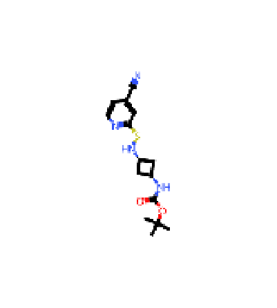 CC(C)(C)OC(=O)N[C@H]1C[C@@H](NSc2cc(C#N)ccn2)C1